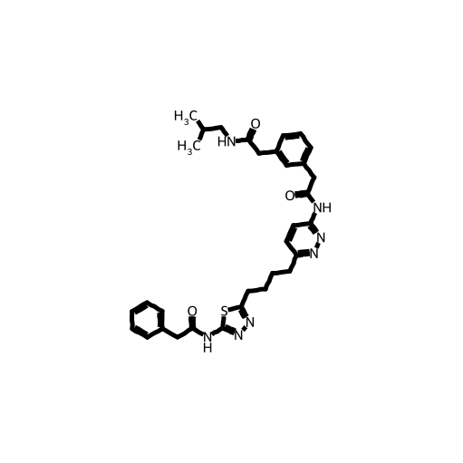 CC(C)CNC(=O)Cc1cccc(CC(=O)Nc2ccc(CCCCc3nnc(NC(=O)Cc4ccccc4)s3)nn2)c1